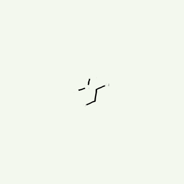 NCCN.[CH3][Al][CH3]